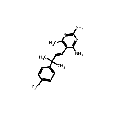 Cc1nc(N)nc(N)c1/C=C/C(C)(C)c1ccc(C(F)(F)F)cc1